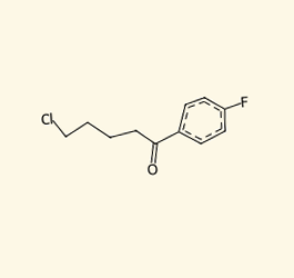 O=C(CCCCCl)c1ccc(F)cc1